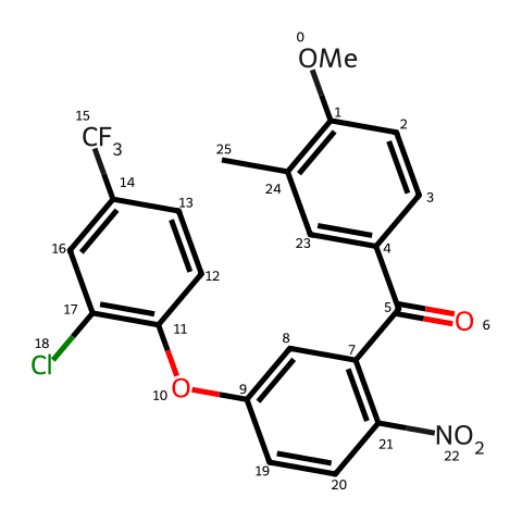 COc1ccc(C(=O)c2cc(Oc3ccc(C(F)(F)F)cc3Cl)ccc2[N+](=O)[O-])cc1C